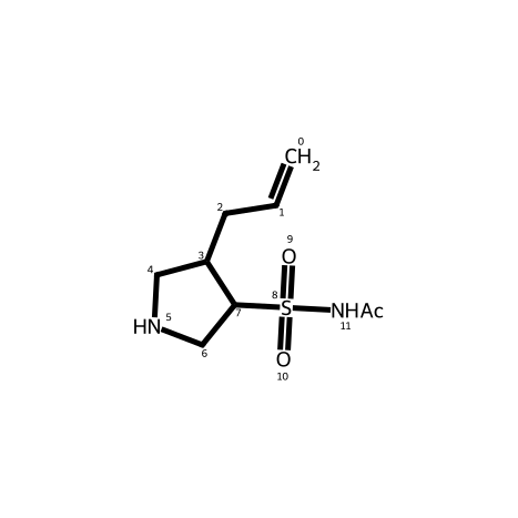 C=CCC1CNCC1S(=O)(=O)NC(C)=O